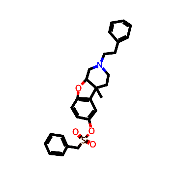 CC12CCN(CCc3ccccc3)CC1Oc1ccc(OS(=O)(=O)Cc3ccccc3)cc12